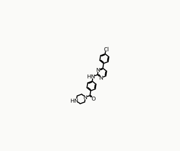 O=C(c1ccc(Nc2nccc(-c3ccc(Cl)cc3)n2)cc1)N1CCNCC1